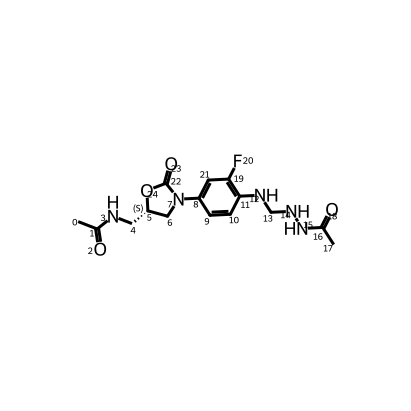 CC(=O)NC[C@H]1CN(c2ccc(NCNNC(C)=O)c(F)c2)C(=O)O1